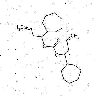 C=CCC(OC(=O)OC(CC=C)C1CCCCCC1)C1CCCCCC1